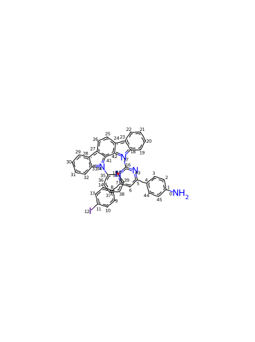 Nc1ccc(-c2cc(-c3ccc(I)cc3)nc(-n3c4ccccc4c4ccc5c6ccccc6n(-c6ccccc6)c5c43)n2)cc1